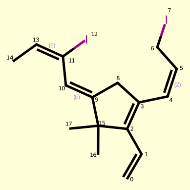 C=CC1=C(/C=C\CI)C/C(=C\C(I)=C/C)C1(C)C